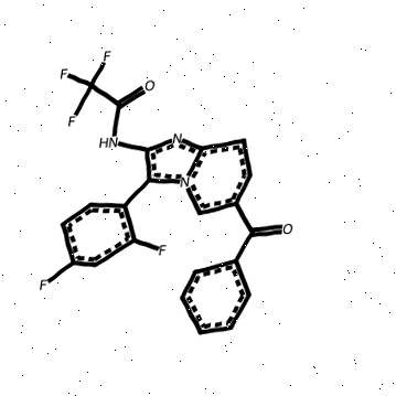 O=C(c1ccccc1)c1ccc2nc(NC(=O)C(F)(F)F)c(-c3ccc(F)cc3F)n2c1